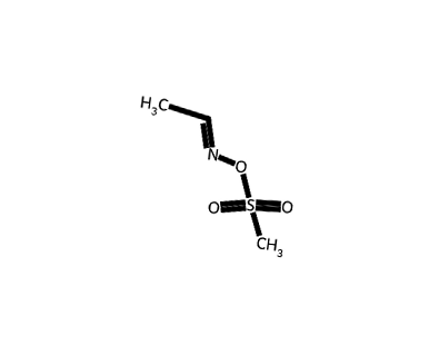 CC=NOS(C)(=O)=O